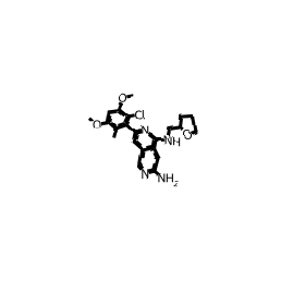 COc1cc(OC)c(Cl)c(-c2cc3cnc(N)cc3c(NCC3CCCO3)n2)c1C